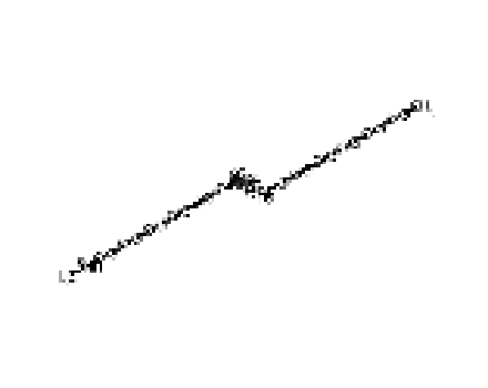 CCCOCCOCCOCCOCCOCCOCCOCCOCCOCCOCCOCCCC(=O)C(F)(F)OC(F)(F)C(F)(F)OC(F)(F)C(=O)NCCOCCOCCOCCOCCOCCOCCOCCOCCOCCOCCOCCNC(=S)CCC